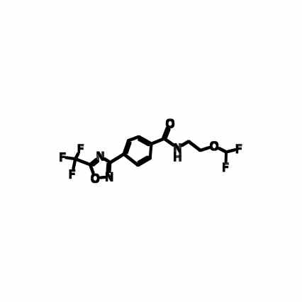 O=C(NCCOC(F)F)c1ccc(-c2noc(C(F)(F)F)n2)cc1